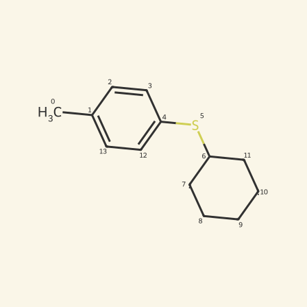 Cc1ccc(SC2[CH]CC[CH]C2)cc1